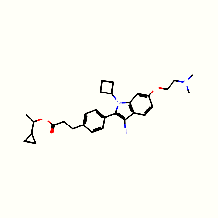 CC(OC(=O)CCc1ccc(-c2c(N)c3ccc(OCCN(C)C)cc3n2C2CCC2)cc1)C1CC1